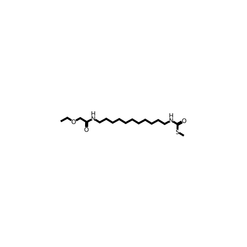 CCOCC(=O)NCCCCCCCCCCCNC(=O)SC